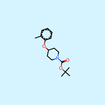 Cc1ccccc1OC1CCN(C(=O)OC(C)(C)C)CC1